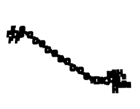 CCCCc1nc2c(N)nc3cc(N4CCN(CCOCCOCCOCCOCCOCCOCCOCCOCCOCCOCCC(=O)Oc5cc(F)c(F)c(F)c5F)CC4)ccc3c2[nH]1